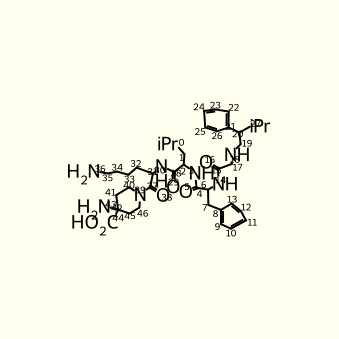 CC(C)CC(NC(=O)C(Cc1ccccc1)NC(=O)CNCC(c1ccccc1)C(C)C)C(=O)NC(CCCCN)C(=O)N1CCC(N)(C(=O)O)CC1